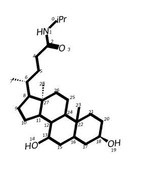 CC(C)NC(=O)CC[C@@H](C)C1CCC2C3C(O)CC4C[C@H](O)CCC4(C)C3CC[C@@]21C